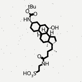 C[C@H](CCC(=O)NCCS(=O)(=O)O)[C@H]1CC[C@H]2[C@@H]3[C@@H](O)CC4C[C@H](NC(=O)OC(C)(C)C)CC[C@]4(C)[C@H]3CC[C@]12C